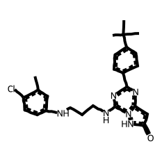 Cc1cc(NCCCNc2nc(-c3ccc(C(C)(C)C)cc3)nc3cc(=O)[nH]n23)ccc1Cl